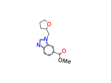 COC(=O)c1ccc2ncn(CC3CCCO3)c2c1